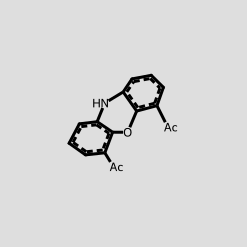 CC(=O)c1cccc2c1Oc1c(cccc1C(C)=O)N2